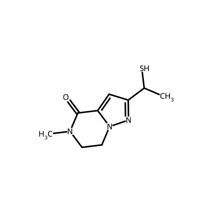 CC(S)c1cc2n(n1)CCN(C)C2=O